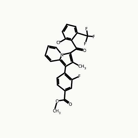 COC(=O)c1ccc(-c2c(C)c(C(=O)c3c(Cl)cccc3C(F)(F)F)n3ccccc23)c(F)c1